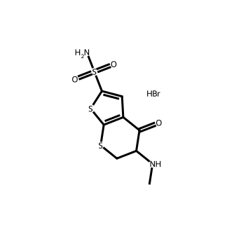 Br.CNC1CSc2sc(S(N)(=O)=O)cc2C1=O